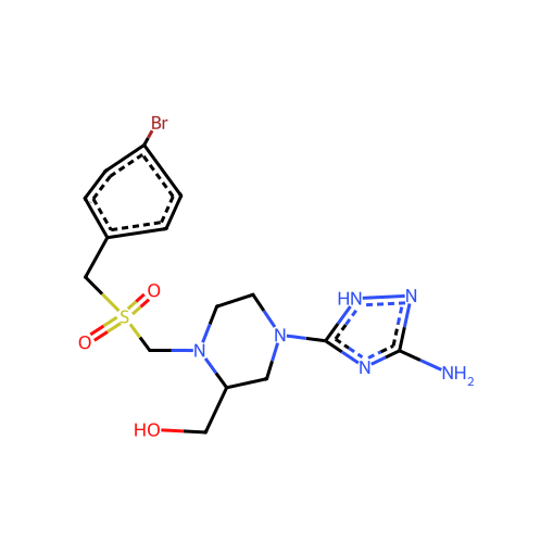 Nc1n[nH]c(N2CCN(CS(=O)(=O)Cc3ccc(Br)cc3)C(CO)C2)n1